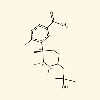 Cc1ccc(C(N)=O)cc1[C@]1(C)CCN(CC(C)(C)O)[C@H](C)[C@@H]1C